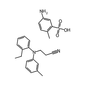 CCc1ccccc1N(CCC#N)c1cccc(C)c1.Cc1ccc(N)cc1S(=O)(=O)O